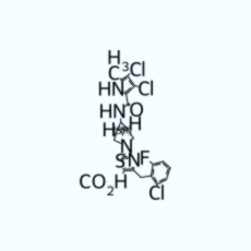 Cc1[nH]c(C(=O)NC2[C@H]3CN(c4nc(Cc5c(F)cccc5Cl)c(C(=O)O)s4)C[C@@H]23)c(Cl)c1Cl